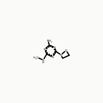 CNc1nc(N)nc(N2CCO2)n1